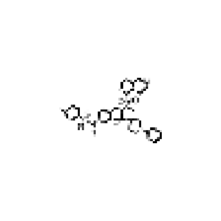 Cc1ccc(S(=O)(=O)Nc2ccc(CC(C(=O)N3CCN(c4ccccc4)CC3)N(C)S(=O)(=O)c3cccc4cnccc34)cc2)cc1